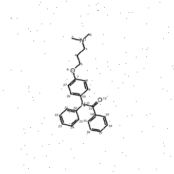 CN(C)CCCOc1ccc(N(C(=O)c2ccccc2)c2ccccc2)cc1